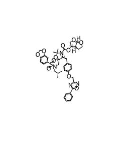 CC(C)CN(C[C@H]1OC(C)(C)N(C(=O)O[C@H]2CO[C@H]3OCC[C@H]32)[C@H]1Cc1ccc(OCc2noc(-c3ccccc3)n2)cc1)S(=O)(=O)c1ccc2c(c1)OCO2